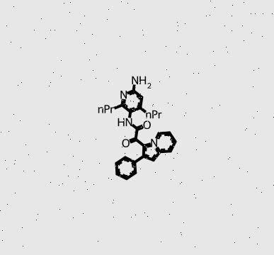 CCCc1cc(N)nc(CCC)c1NC(=O)C(=O)c1c(-c2ccccc2)cc2ccccn12